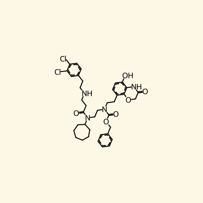 O=C1COc2c(CCN(CCN(C(=O)CCNCCc3ccc(Cl)c(Cl)c3)C3CCCCCC3)C(=O)OCc3ccccc3)ccc(O)c2N1